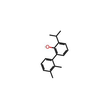 Cc1cccc(-c2cccc(C(C)C)c2[O])c1C